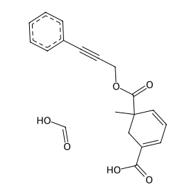 CC1(C(=O)OCC#Cc2ccccc2)C=CC=C(C(=O)O)C1.O=CO